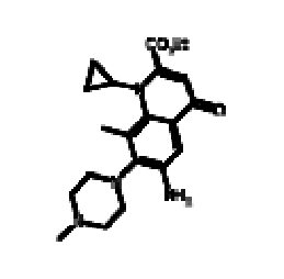 CCOC(=O)c1cc(=O)c2cc(N)c(N3CCN(C)CC3)c(C)c2n1C1CC1